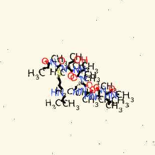 CCCC(=O)N(C)[C@H](CSCCCCNCC(C)C)C(=O)N(C)[C@@H](CC(C)(C)O)C(=O)N[C@H](C(=O)N(C)[C@@H](CC(C)C)C(=O)N[C@H](C)C(=O)N[C@@H](C)C(=O)N(C)[C@@H](CC(C)C)C(=O)NC)C(C)C